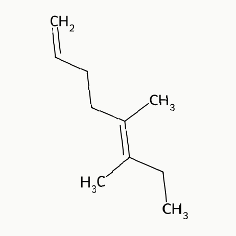 C=CCC/C(C)=C(\C)CC